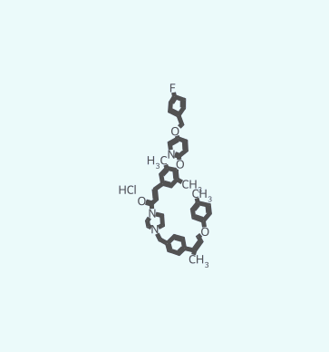 CC(=CCOc1ccc(C)cc1)c1ccc(CN2CCN(C(=O)C=Cc3cc(C)c(Oc4ccc(OCc5ccc(F)cc5)cn4)c(C)c3)CC2)cc1.Cl